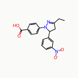 CCC1=NN(c2ccc(C(=O)O)cc2)C(c2cccc([N+](=O)[O-])c2)C1